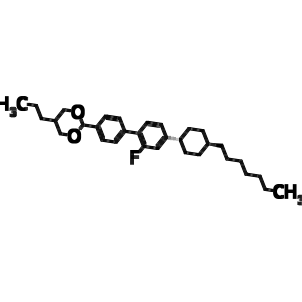 CCCCCCC[C@H]1CC[C@H](c2ccc(-c3ccc(C4OCC(CCC)CO4)cc3)c(F)c2)CC1